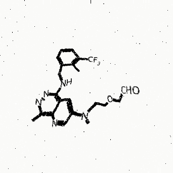 Cc1c(CNc2nnc(C)c3ncc(N(C)CCOCC=O)cc23)cccc1C(F)(F)F